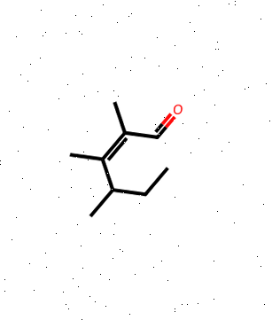 CCC(C)C(C)=C(C)C=O